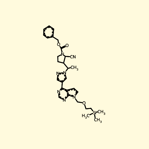 CC(C1CCN(C(=O)OCc2ccccc2)C1C#N)n1cc(-c2ncnc3c2ccn3COCC[Si](C)(C)C)cn1